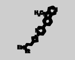 CCN(CC)CCC1CN(c2ccc(-c3ccc4c5cnccc5n(C)c4c3)cn2)C1